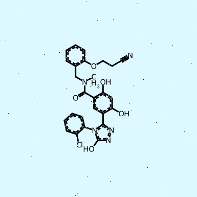 CN(Cc1ccccc1OCCC#N)C(=O)c1cc(-c2nnc(O)n2-c2ccccc2Cl)c(O)cc1O